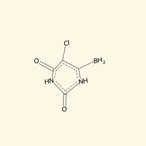 Bc1[nH]c(=O)[nH]c(=O)c1Cl